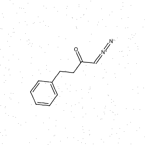 [N-]=[N+]=CC(=O)CCc1ccccc1